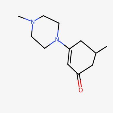 CC1CC(=O)C=C(N2CCN(C)CC2)C1